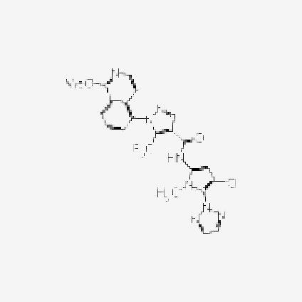 COc1nccc2c(-n3ncc(C(=O)Nc4cc(Cl)c(-n5nccn5)n4C)c3C(F)(F)F)cccc12